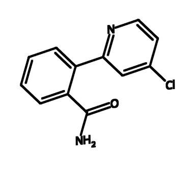 NC(=O)c1ccccc1-c1cc(Cl)ccn1